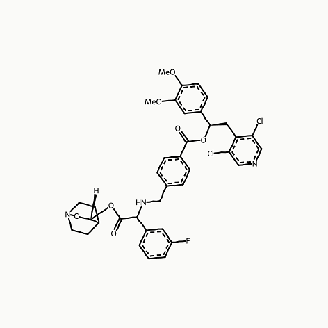 COc1ccc([C@@H](Cc2c(Cl)cncc2Cl)OC(=O)c2ccc(CNC(C(=O)O[C@H]3CN4CCC3CC4)c3cccc(F)c3)cc2)cc1OC